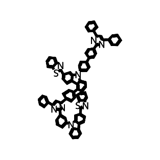 c1ccc(-c2cc(-c3ccccc3)nc(-c3ccc(-c4ccc(-n5c6cc(-c7nc8ccccc8s7)ccc6c6c(-c7ccc(-c8cc(-c9ccccc9)nc(-c9cccc(-n%10c%11ccccc%11c%11ccc(-c%12nc%13ccccc%13s%12)cc%11%10)c9)n8)cc7)cccc65)cc4)cc3)n2)cc1